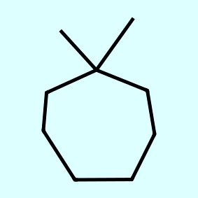 CC1(C)CCCCCC1